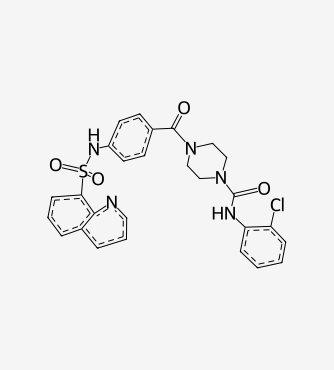 O=C(Nc1ccccc1Cl)N1CCN(C(=O)c2ccc(NS(=O)(=O)c3cccc4cccnc34)cc2)CC1